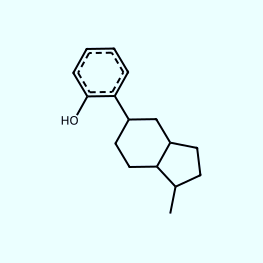 CC1CCC2CC(c3ccccc3O)CCC12